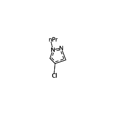 [CH2]CCn1cc(Cl)cn1